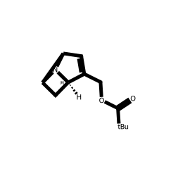 CC(C)(C)C(=O)OCC1=CC2C3C[C@H]1N23